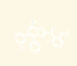 N#Cc1cccc(-c2nc(N)c3nc(C(O)c4c(F)cccc4OC(F)F)nn3c2-c2ccncn2)c1